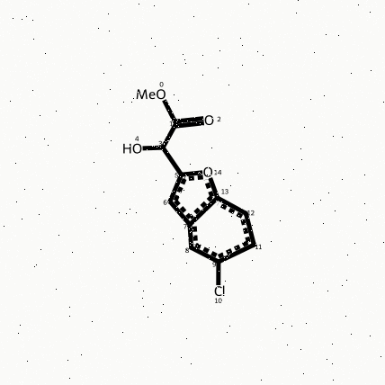 COC(=O)C(O)c1cc2cc(Cl)ccc2o1